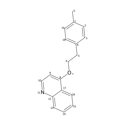 Cc1ccc(CCOc2ccnc3ccccc23)cc1